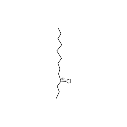 CCCCCCCCC[C@@H](Cl)CCC